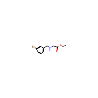 CCOC(=O)CNCc1cccc(Br)c1